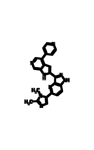 Cc1ncc(-c2ccc3[nH]nc(-c4cc5c(-c6ccncc6)cncc5[nH]4)c3n2)n1C